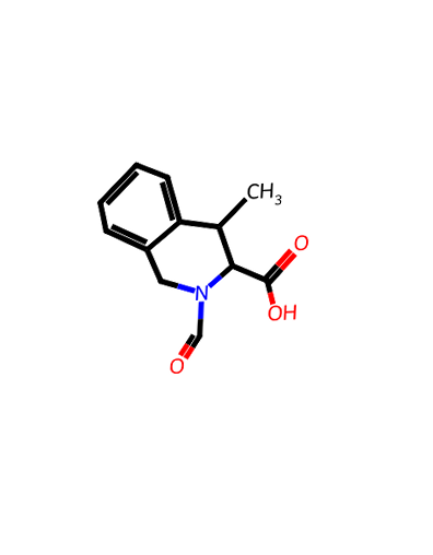 CC1c2ccccc2CN(C=O)C1C(=O)O